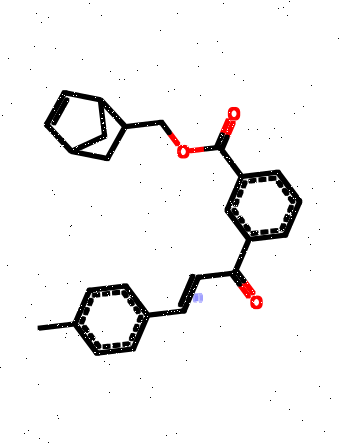 Cc1ccc(/C=C/C(=O)c2cccc(C(=O)OCC3CC4C=CC3C4)c2)cc1